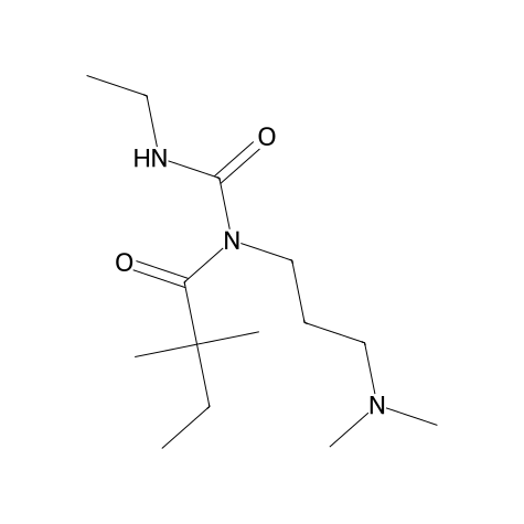 CCNC(=O)N(CCCN(C)C)C(=O)C(C)(C)CC